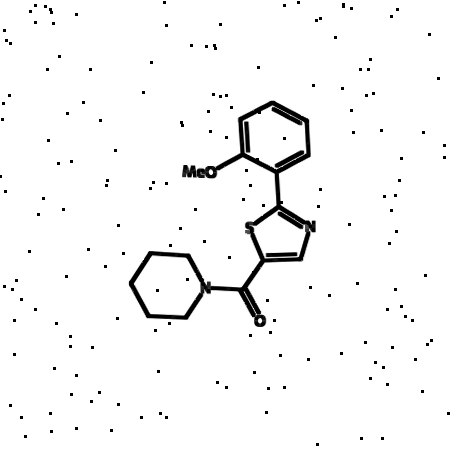 COc1ccccc1-c1ncc(C(=O)N2CCCCC2)s1